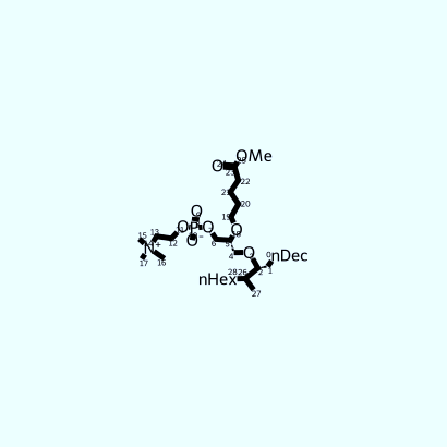 CCCCCCCCCCC[C@@H](OC[C@H](COP(=O)([O-])OCC[N+](C)(C)C)OCCCCC(=O)OC)C(C)CCCCCC